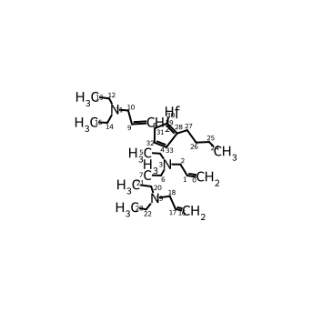 C=CCN(CC)CC.C=CCN(CC)CC.C=CCN(CC)CC.CCCCC1=[C]([Hf])CC=C1